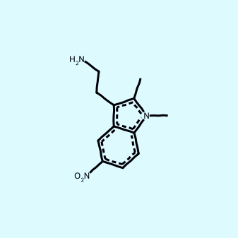 Cc1c(CCN)c2cc([N+](=O)[O-])ccc2n1C